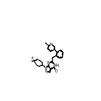 Cc1ccc(-c2ccccc2Cc2nc3c(cnn3C3CCC(C)(F)CC3)c(=O)[nH]2)cn1